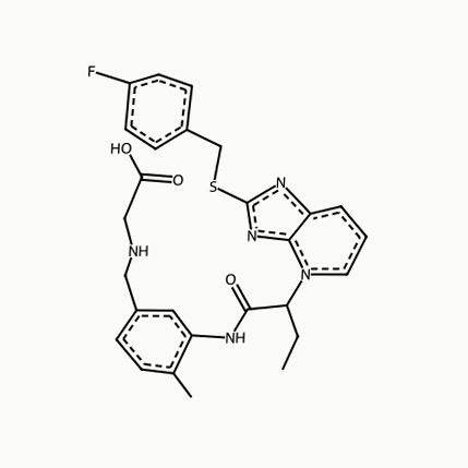 CCC(C(=O)Nc1cc(CNCC(=O)O)ccc1C)n1cccc2nc(SCc3ccc(F)cc3)nc1-2